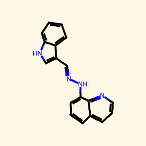 C(=N\Nc1cccc2cccnc12)/c1c[nH]c2ccccc12